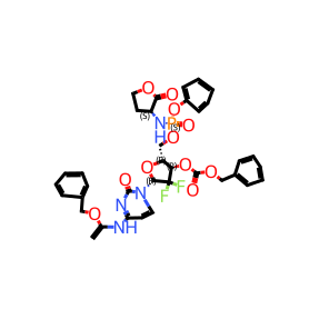 C=C(Nc1ccn([C@@H]2O[C@H](CO[P@@](=O)(N[C@H]3CCOC3=O)Oc3ccccc3)[C@@H](OC(=O)OCc3ccccc3)C2(F)F)c(=O)n1)OCc1ccccc1